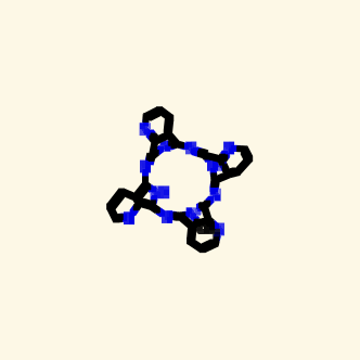 C[n+]1c2nc3[nH]c(nc4nc(nc5[nH]c(nc1-c1ncccc1-2)c1cccnc51)-c1cccnc1-4)c1cccnc31